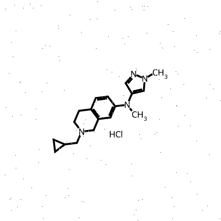 CN(c1ccc2c(c1)CN(CC1CC1)CC2)c1cnn(C)c1.Cl